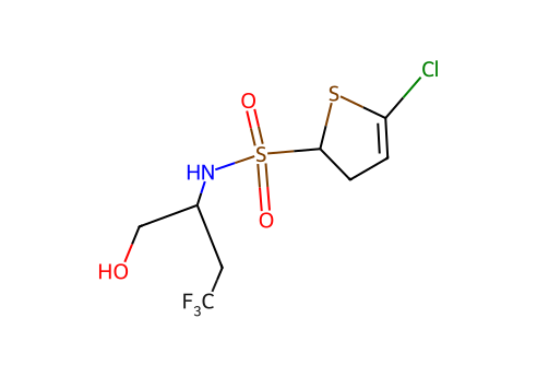 O=S(=O)(NC(CO)CC(F)(F)F)C1CC=C(Cl)S1